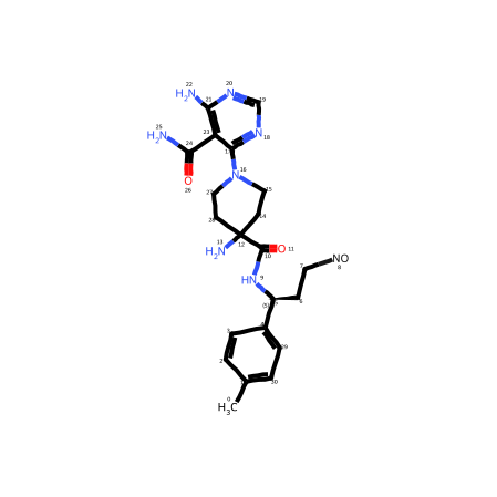 Cc1ccc([C@H](CCN=O)NC(=O)C2(N)CCN(c3ncnc(N)c3C(N)=O)CC2)cc1